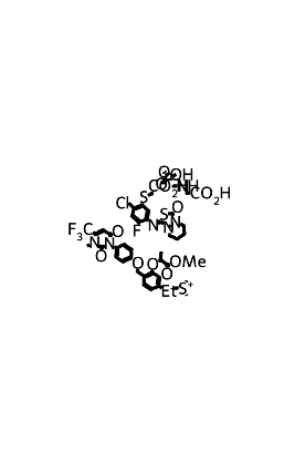 CCc1ccc(COc2ccc(-n3c(=O)cc(C(F)(F)F)n(C)c3=O)cc2)c(OC(C)C(=O)OC)c1.C[S+](C)C.O=C(O)CNCP(=O)([O-])O.O=C(O)CSc1cc(N=c2sc(=O)n3n2CCCC3)c(F)cc1Cl